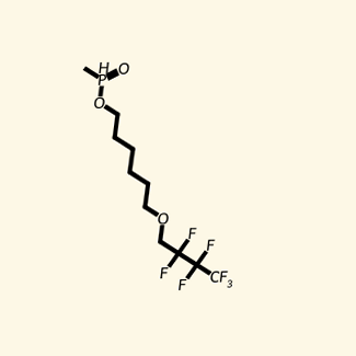 C[PH](=O)OCCCCCCOCC(F)(F)C(F)(F)C(F)(F)F